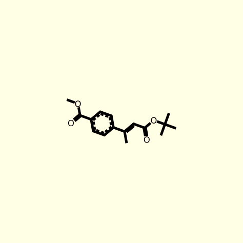 COC(=O)c1ccc(C(C)=CC(=O)OC(C)(C)C)cc1